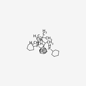 CC(P(C(C)(C)C)C(C)(C)C)[C]12[C]3(PC4CCCCC4)[CH]4[CH]5[C@@]1(PC1CCCCC1)[Fe]45321678[CH]2[CH]1[CH]6[CH]7[CH]28